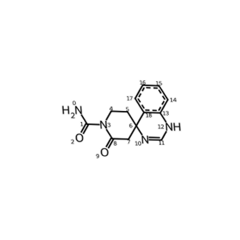 NC(=O)N1CCC2(CC1=O)N=CNc1ccccc12